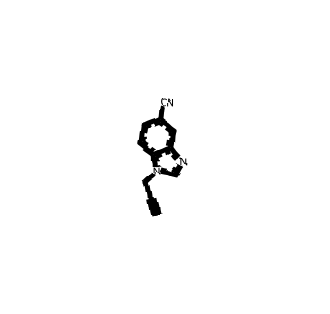 C#CCn1cnc2cc(C#N)ccc21